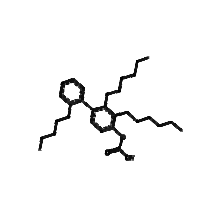 CCCCCCc1c(OC(=O)O)ccc(-c2ccccc2CCCCC)c1CCCCCC